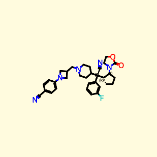 N#Cc1ccc(N2CC(CN3CCC([C@@](C#N)(c4cccc(F)c4)[C@H]4CCC[C@@H]4N4CCOC4=O)CC3)C2)cc1